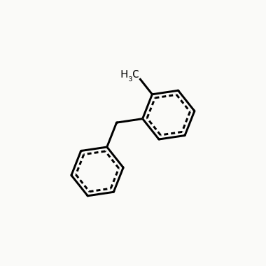 Cc1ccccc1Cc1ccccc1